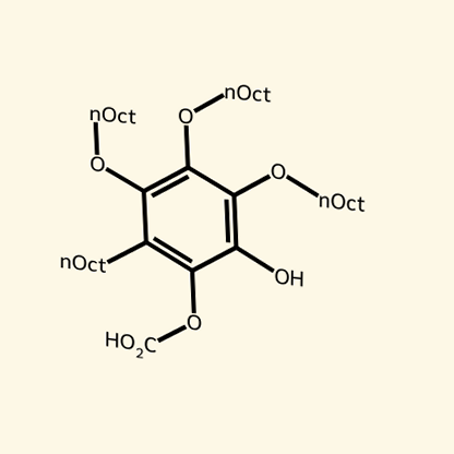 CCCCCCCCOc1c(O)c(OC(=O)O)c(CCCCCCCC)c(OCCCCCCCC)c1OCCCCCCCC